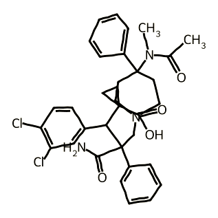 CC(=O)N(C)C1(c2ccccc2)CCN(CC(C(N)=O)(c2ccccc2)C(c2ccc(Cl)c(Cl)c2)C2(C(=O)O)CC2)CC1